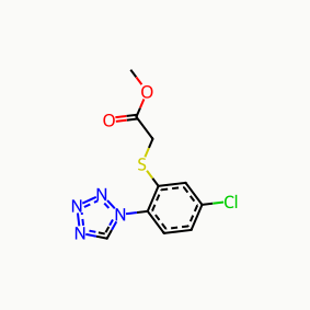 COC(=O)CSc1cc(Cl)ccc1-n1cnnn1